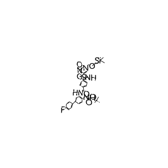 COc1nc(S(=N)(=O)c2ccc(C(=O)Nc3cc(-c4ccc(F)cc4)ccc3NC(=O)OC(C)(C)C)cc2)cn1COCC[Si](C)(C)C